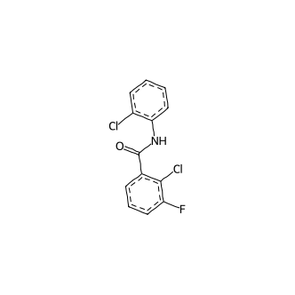 O=C(Nc1ccccc1Cl)c1cccc(F)c1Cl